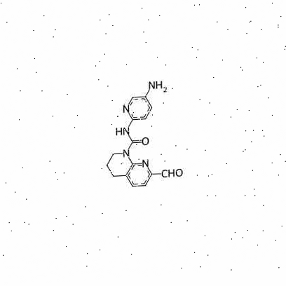 Nc1ccc(NC(=O)N2CCCc3ccc(C=O)nc32)nc1